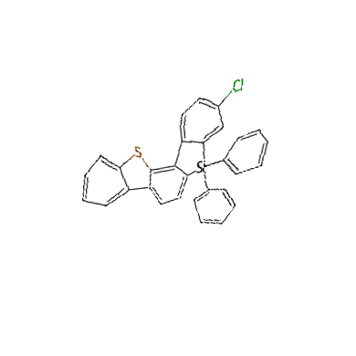 Clc1ccc2c(c1)[Si](c1ccccc1)(c1ccccc1)c1ccc3c(sc4ccccc43)c1-2